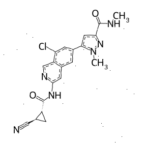 CNC(=O)c1cc(-c2cc(Cl)c3cnc(NC(=O)[C@@H]4C[C@H]4C#N)cc3c2)n(C)n1